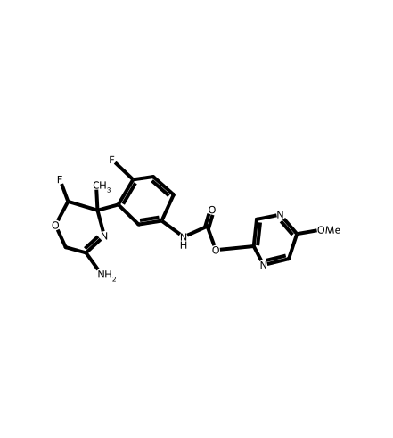 COc1cnc(OC(=O)Nc2ccc(F)c(C3(C)N=C(N)COC3F)c2)cn1